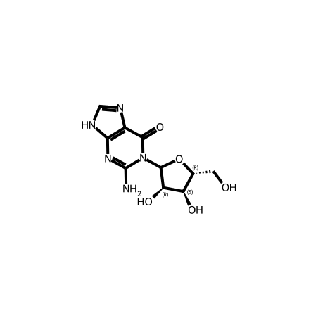 Nc1nc2[nH]cnc2c(=O)n1C1O[C@H](CO)[C@@H](O)[C@H]1O